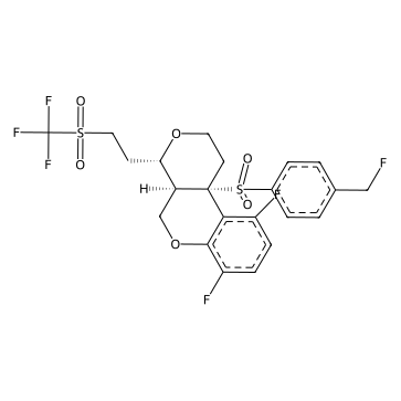 O=S(=O)(CC[C@@H]1OCC[C@@]2(S(=O)(=O)c3ccc(CF)cc3)c3c(F)ccc(F)c3OC[C@@H]12)C(F)(F)F